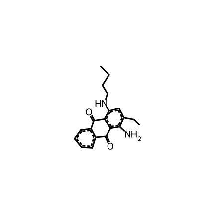 CCCCNc1cc(CC)c(N)c2c1C(=O)c1ccccc1C2=O